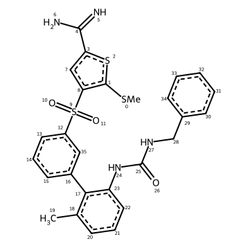 CSc1sc(C(=N)N)cc1S(=O)(=O)c1cccc(-c2c(C)cccc2NC(=O)NCc2ccccc2)c1